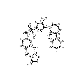 CN1CC[C@@H](Oc2cc(NS(=O)(=O)c3cc(Cl)c(-c4cccc5c4oc4ccccc45)s3)ccc2C(F)(F)F)C1